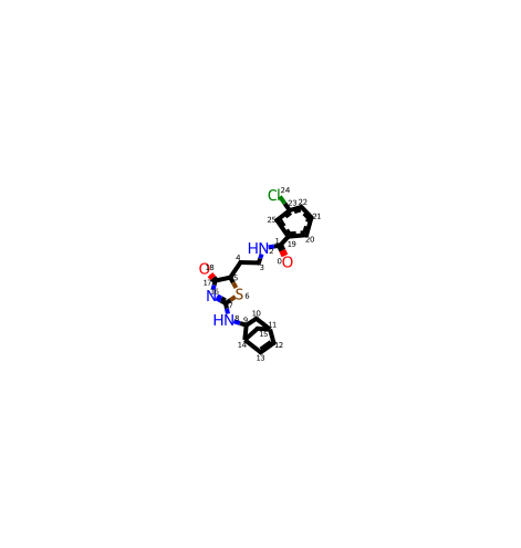 O=C(NCCC1SC(NC2CC3C=CC2C3)=NC1=O)c1cccc(Cl)c1